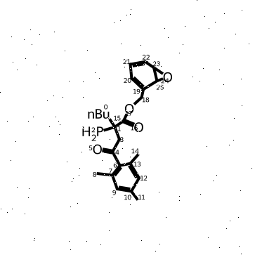 CCCCC(P)(CC(=O)c1c(C)cc(C)cc1C)C(=O)OCC1=CC=CC2OC12